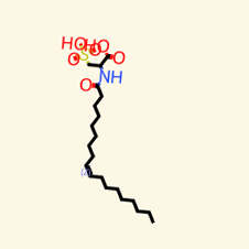 CCCCCCCC/C=C\CCCCCCCC(=O)NC(CS(=O)(=O)O)C(=O)O